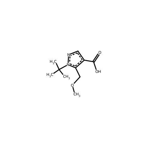 COCc1c(C(=O)O)cnn1C(C)(C)C